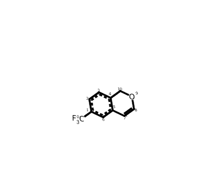 FC(F)(F)c1ccc2c(c1)[C]=COC2